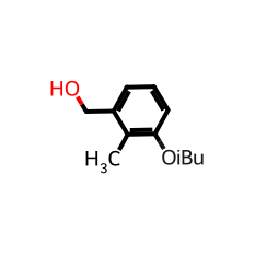 Cc1c(CO)cccc1OCC(C)C